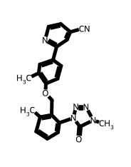 Cc1cc(-c2cc(C#N)ccn2)ccc1OCc1c(C)cccc1-n1nnn(C)c1=O